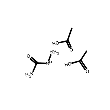 CC(=O)O.CC(=O)O.NNC(N)=O